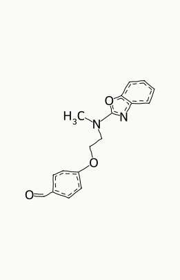 CN(CCOc1ccc(C=O)cc1)c1nc2ccccc2o1